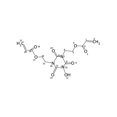 C=CC(=O)OCCn1c(=O)n(O)c(=O)n(CCOC(=O)C=C)c1=O